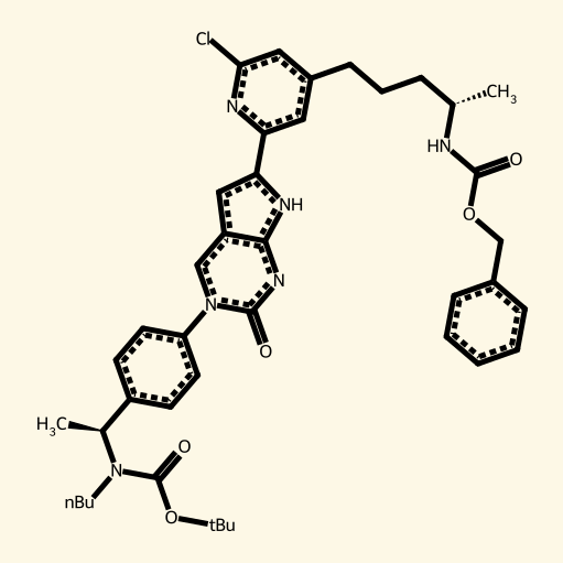 CCCCN(C(=O)OC(C)(C)C)[C@@H](C)c1ccc(-n2cc3cc(-c4cc(CCC[C@H](C)NC(=O)OCc5ccccc5)cc(Cl)n4)[nH]c3nc2=O)cc1